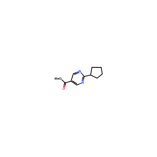 COC(=O)c1cnc(C2CCCC2)nc1